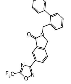 O=C1c2cc(-c3noc(C(F)(F)F)n3)ccc2CN1Cc1ccccc1-c1ccccc1